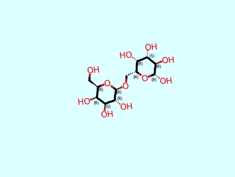 OC[C@H]1O[C@@H](OC[C@H]2O[C@@H](O)[C@H](O)[C@@H](O)[C@H]2O)[C@H](O)[C@@H](O)[C@H]1O